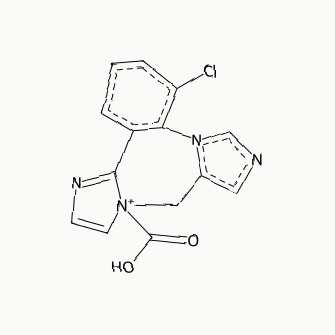 O=C(O)[N+]12C=CN=C1c1cccc(Cl)c1-n1cncc1C2